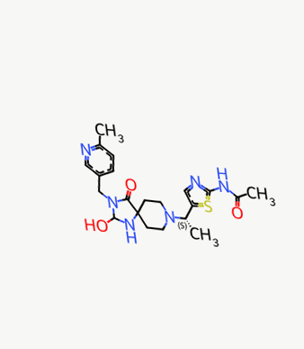 CC(=O)Nc1ncc([C@H](C)N2CCC3(CC2)NC(O)N(Cc2ccc(C)nc2)C3=O)s1